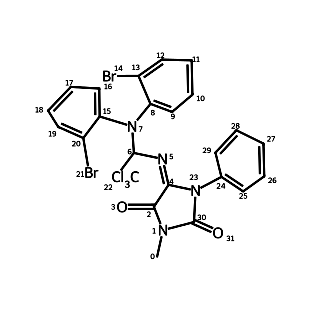 CN1C(=O)/C(=N\C(N(c2ccccc2Br)c2ccccc2Br)C(Cl)(Cl)Cl)N(c2ccccc2)C1=O